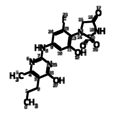 CCCc1c(C)nc(Nc2cc(O)c(N3CC(=O)NS3(=O)=O)c(F)c2)nc1O